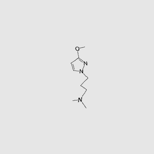 COc1ccn(CCCN(C)C)n1